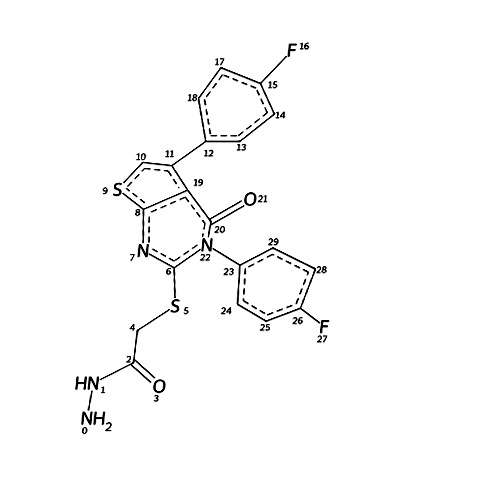 NNC(=O)CSc1nc2scc(-c3ccc(F)cc3)c2c(=O)n1-c1ccc(F)cc1